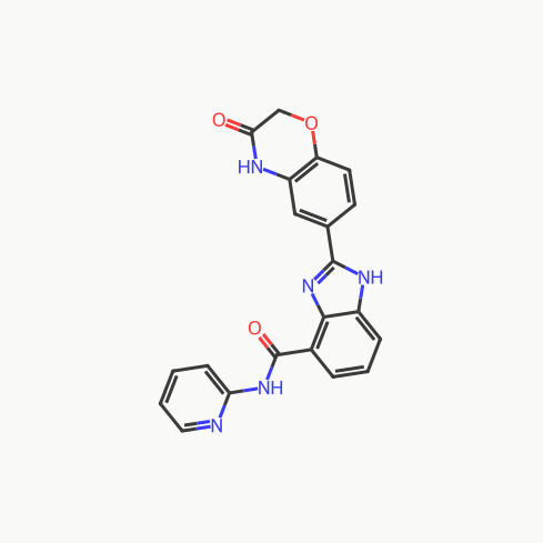 O=C1COc2ccc(-c3nc4c(C(=O)Nc5ccccn5)cccc4[nH]3)cc2N1